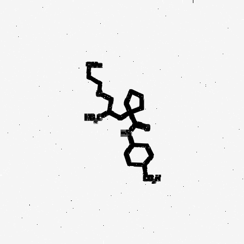 COCCOCC(CC1(C(=O)NC2CCC(C(=O)O)CC2)CCCC1)C(=O)O